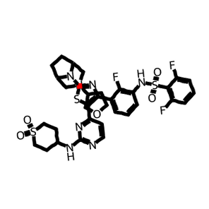 O=S1(=O)CCC(Nc2nccc(-c3sc(N4C5CCC4CN(C4CCOC4)C5)nc3-c3cccc(NS(=O)(=O)c4c(F)cccc4F)c3F)n2)CC1